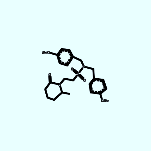 COc1ccc(CN(Cc2ccc(OC)cc2)S(=O)(=O)CCN2C(=O)CCCC2C)cc1